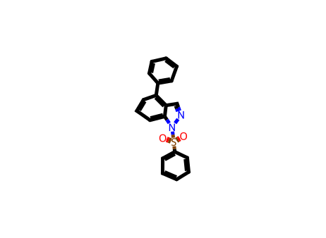 O=S(=O)(c1ccccc1)n1ncc2c(-c3ccccc3)cccc21